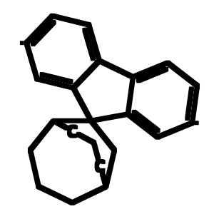 [c]1ccc2c(c1)C1(CC3CCCC1CCC3)c1c[c]ccc1-2